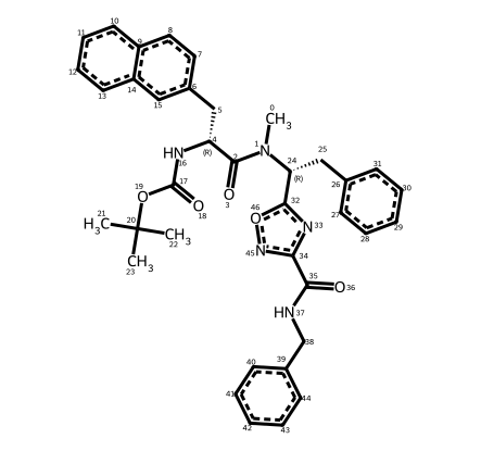 CN(C(=O)[C@@H](Cc1ccc2ccccc2c1)NC(=O)OC(C)(C)C)[C@H](Cc1ccccc1)c1nc(C(=O)NCc2ccccc2)no1